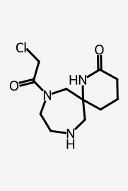 O=C1CCCC2(CNCCN(C(=O)CCl)C2)N1